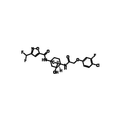 O=C(COc1ccc(Cl)c(F)c1)NC12CCC(NC(=O)c3cc(C(F)F)no3)(CC1)C[C@@H]2O